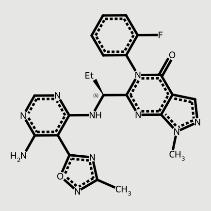 CC[C@H](Nc1ncnc(N)c1-c1nc(C)no1)c1nc2c(cnn2C)c(=O)n1-c1ccccc1F